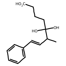 CC(C=Cc1ccccc1)C(O)(O)CCCC(=O)O